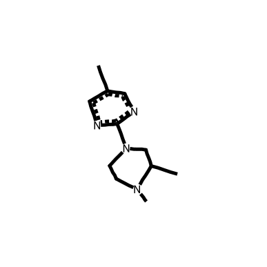 Cc1cnc(N2CCN(C)C(C)C2)nc1